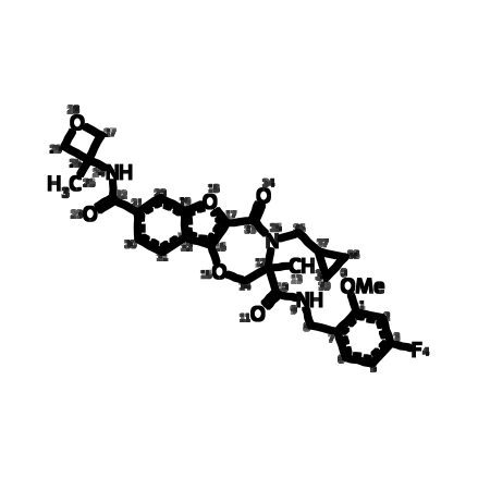 COc1cc(F)ccc1CNC(=O)C1(C)COc2c(oc3cc(C(=O)NC4(C)COC4)ccc23)C(=O)N1CC1CC1